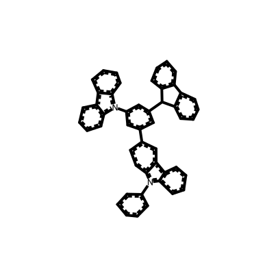 c1ccc(-n2c3ccccc3c3cc(-c4cc(C5c6ccccc6-c6ccccc65)cc(-n5c6ccccc6c6ccccc65)c4)ccc32)cc1